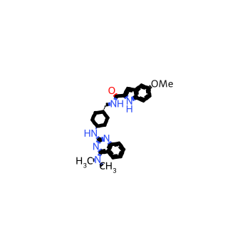 COc1ccc2[nH]c(C(=O)NC[C@H]3CC[C@@H](Nc4nc(N(C)C)c5ccccc5n4)CC3)cc2c1